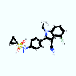 CCn1c(-c2ccc(NS(=O)(=O)C3CC3)cc2)c(C#N)c2c(Cl)cccc21